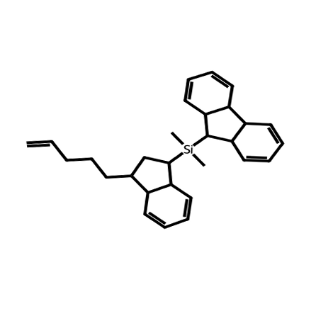 C=CCCCC1CC([Si](C)(C)C2C3C=CC=CC3C3C=CC=CC32)C2C=CC=CC12